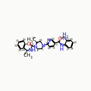 C[C@H](NC(=O)N1CCN(c2ccc(C(=O)Nc3ccccc3N)cn2)C[C@@H]1C)c1ccccc1